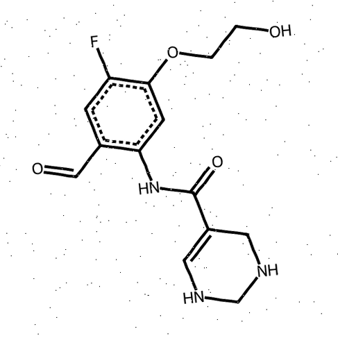 O=Cc1cc(F)c(OCCO)cc1NC(=O)C1=CNCNC1